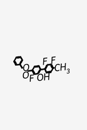 Cc1ccc(-c2ccc(C(=O)OCc3ccccc3)c(F)c2O)c(F)c1F